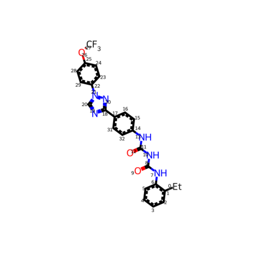 CCc1ccccc1NC(=O)NC(=O)Nc1ccc(-c2ncn(-c3ccc(OC(F)(F)F)cc3)n2)cc1